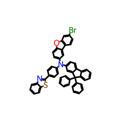 Brc1ccc2c(c1)oc1ccc(N(c3ccc(-c4nc5ccccc5s4)cc3)c3ccc4c(c3)C(c3ccccc3)(c3ccccc3)c3ccccc3-4)cc12